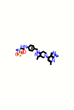 Cc1cc(N2CCc3c(c(C)nn3CC34CCC(NC(=O)CN(C)S(C)(=O)=O)(CC3)CC4)C2)c2cnn(C)c2n1